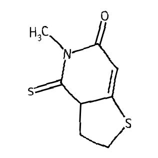 CN1C(=O)C=C2SCCC2C1=S